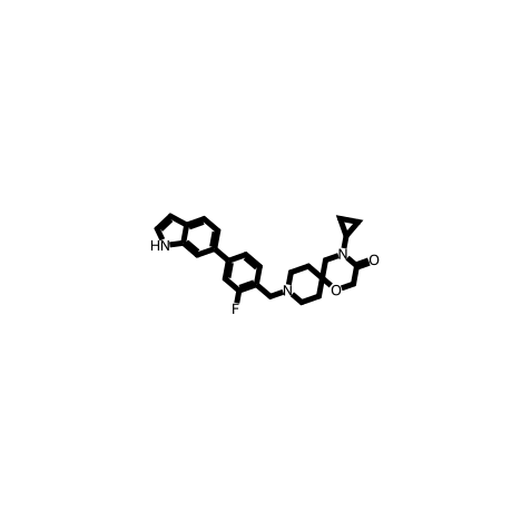 O=C1COC2(CCN(Cc3ccc(-c4ccc5cc[nH]c5c4)cc3F)CC2)CN1C1CC1